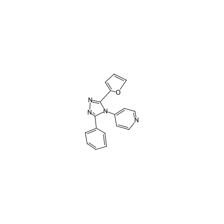 c1ccc(-c2nnc(-c3ccco3)n2-c2ccncc2)cc1